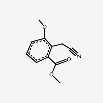 COC(=O)c1cccc(OC)c1CC#N